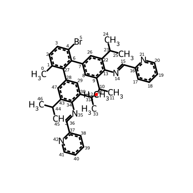 Cc1ccc(Br)c(-c2cc(C(C)C)c(N=Cc3ccccn3)c(C(C)C)c2)c1-c1cc(C(C)C)c(N=Cc2ccccn2)c(C(C)C)c1